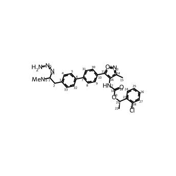 CNC(Cc1ccc(-c2ccc(-c3onc(C)c3NC(=O)O[C@H](C)c3ccccc3Cl)cc2)cc1)/N=N\N